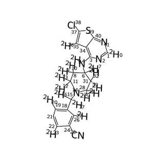 [2H]c1nc(N([2H])C2([2H])C([2H])([2H])C([2H])([2H])N(C([2H])([2H])c3c([2H])cc([2H])c(C#N)c3[2H])C([2H])([2H])C2([2H])[2H])c2c([2H])c(Cl)sc2n1